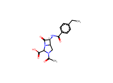 CCc1ccc(C(=O)N[C@@H]2C(=O)N3C2CN(C(C)=O)C3C(=O)O)cc1